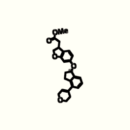 COC(=O)CC1COc2cc(O[C@@H]3CCc4c(C5=CCOCC5)cccc43)ccc21